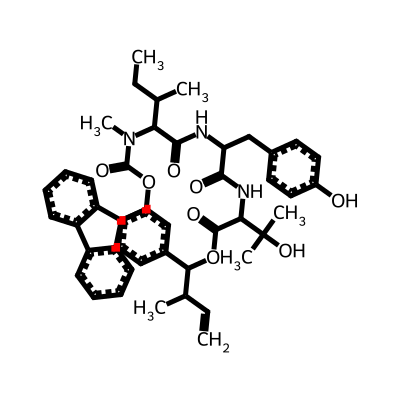 C=CC(C)C(OC(=O)C(NC(=O)C(Cc1ccc(O)cc1)NC(=O)C(C(C)CC)N(C)C(=O)OCC1c2ccccc2-c2ccccc21)C(C)(C)O)c1ccccc1